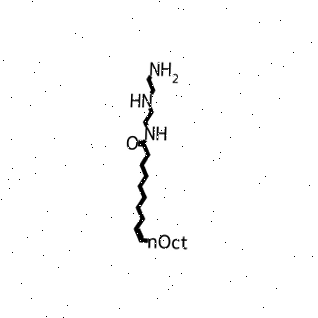 CCCCCCCC/C=C\CCCCCCCC(=O)NCCNCCN